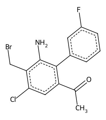 CC(=O)c1cc(Cl)c(CBr)c(N)c1-c1cccc(F)c1